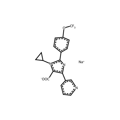 O=C([O-])c1c(-c2cccnc2)nc(-c2ccc(OC(F)(F)F)cc2)n1C1CC1.[Na+]